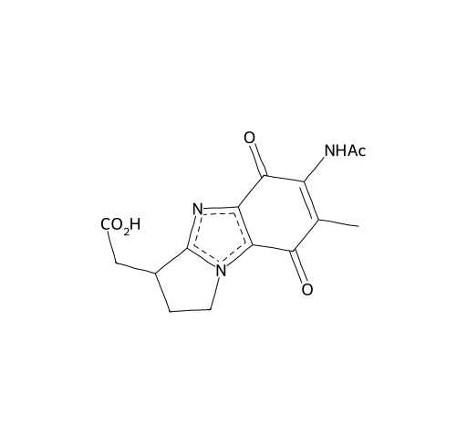 CC(=O)NC1=C(C)C(=O)c2c(nc3n2CCC3CC(=O)O)C1=O